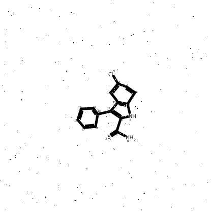 NC(=S)c1[nH]c2ccc(Cl)cc2c1-c1ccccc1